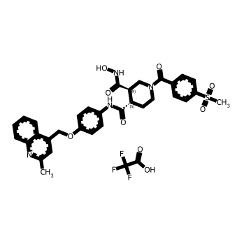 Cc1cc(COc2ccc(NC(=O)[C@H]3CCN(C(=O)c4ccc(S(C)(=O)=O)cc4)C[C@@H]3C(=O)NO)cc2)c2ccccc2n1.O=C(O)C(F)(F)F